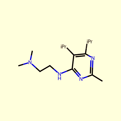 Cc1nc(NCCN(C)C)c(C(C)C)c(C(C)C)n1